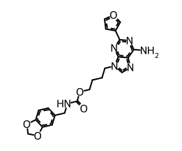 Nc1nc(-c2ccoc2)nc2c1ncn2CCCCOC(=O)NCc1ccc2c(c1)OCO2